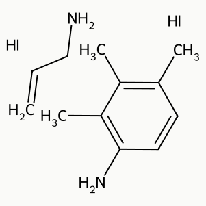 C=CCN.Cc1ccc(N)c(C)c1C.I.I